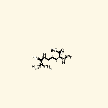 CC(C)N[C@@H](CCCNC(=N)N(C)C)C(=O)C(C)C